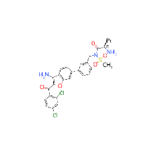 CC(C)[C@@H](N)C(=O)N(Cc1cccc(-c2ccc3c(N)c(C(=O)c4ccc(Cl)cc4Cl)oc3c2)c1)S(C)(=O)=O